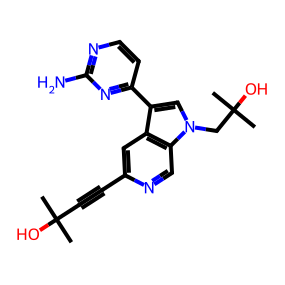 CC(C)(O)C#Cc1cc2c(-c3ccnc(N)n3)cn(CC(C)(C)O)c2cn1